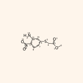 COC(=O)CSc1ccc([N+](=O)[O-])c(N)c1